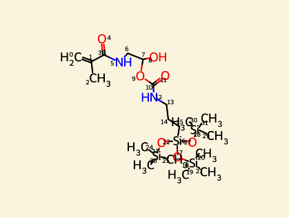 C=C(C)C(=O)NCC(O)OC(=O)NCCC[Si](O[Si](C)(C)C)(O[Si](C)(C)C)O[Si](C)(C)C